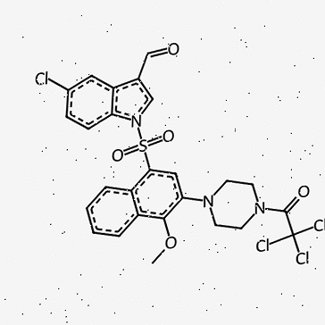 COc1c(N2CCN(C(=O)C(Cl)(Cl)Cl)CC2)cc(S(=O)(=O)n2cc(C=O)c3cc(Cl)ccc32)c2ccccc12